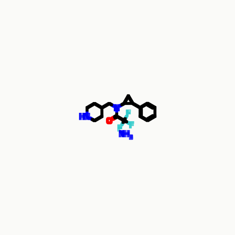 N.O=C(N(CC1CCNCC1)C1CC1c1ccccc1)C(F)(F)F